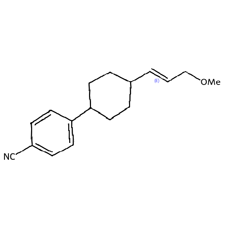 COC/C=C/C1CCC(c2ccc(C#N)cc2)CC1